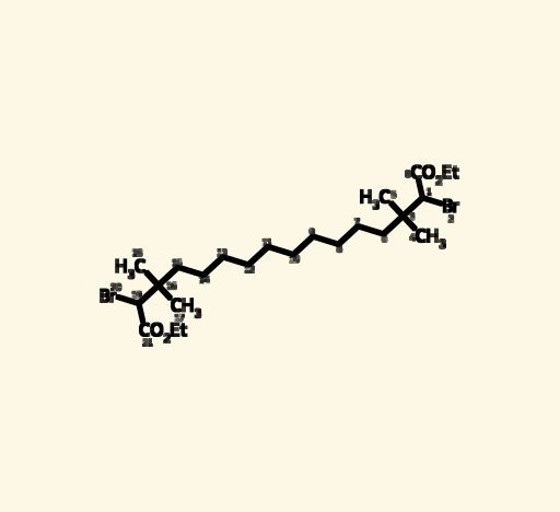 CCOC(=O)C(Br)C(C)(C)CCCCCCCCCCC(C)(C)C(Br)C(=O)OCC